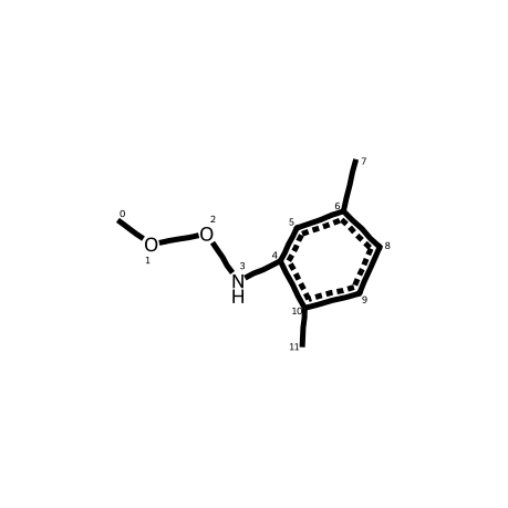 COONc1cc(C)ccc1C